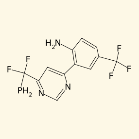 Nc1ccc(C(F)(F)F)cc1-c1cc(C(F)(F)P)ncn1